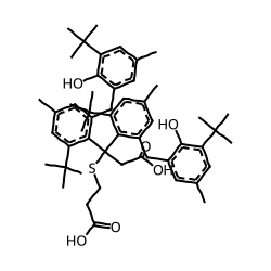 Cc1cc(Cc2cc(C)cc(C(C)(C)C)c2C(CC(=O)O)(SCCC(=O)O)c2c(Cc3cc(C)cc(C(C)(C)C)c3O)cc(C)cc2C(C)(C)C)c(O)c(C(C)(C)C)c1